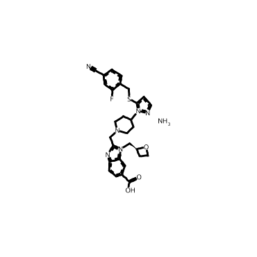 N.N#Cc1ccc(CSc2ccnn2C2CCN(Cc3nc4ccc(C(=O)O)cc4n3C[C@@H]3CCO3)CC2)c(F)c1